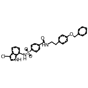 O=C(NCCc1ccc(OCc2ccccc2)cc1)c1ccc(S(=O)(=O)Nc2cccc3c(Cl)c[nH]c23)cc1